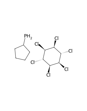 Cl[C@H]1[C@H](Cl)[C@@H](Cl)[C@@H](Cl)[C@H](Cl)[C@H]1Cl.PC1CCCC1